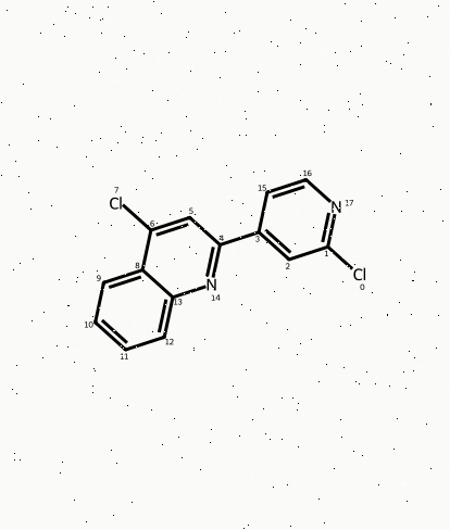 Clc1cc(-c2cc(Cl)c3ccccc3n2)ccn1